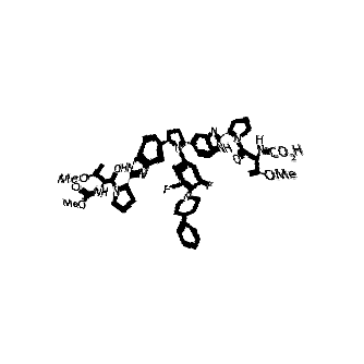 COC(=O)N[C@H](C(=O)N1CCC[C@H]1c1nc2cc([C@H]3CC[C@H](c4ccc5[nH]c([C@@H]6CCCN6C(=O)[C@@H](NC(=O)O)[C@@H](C)OC)nc5c4)N3c3cc(F)c(N4CCC(c5ccccc5)CC4)c(F)c3)ccc2[nH]1)[C@@H](C)OC